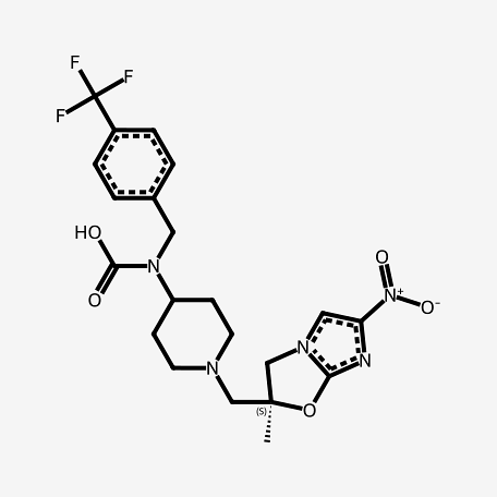 C[C@]1(CN2CCC(N(Cc3ccc(C(F)(F)F)cc3)C(=O)O)CC2)Cn2cc([N+](=O)[O-])nc2O1